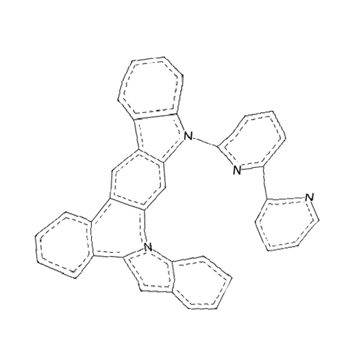 c1ccc(-c2cccc(-n3c4ccccc4c4cc5c6ccccc6c6cc7ccccc7n6c5cc43)n2)nc1